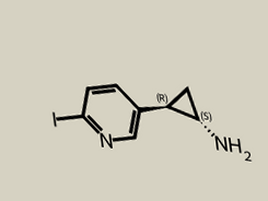 N[C@H]1C[C@@H]1c1ccc(I)nc1